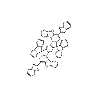 c1ccc2c(c1)-c1ccccc1C21c2cc3c(cc2-c2c1cc(-c1cc4ccccc4s1)c1oc4ccccc4c21)C1(c2ccccc2-c2ccccc21)c1cc(-c2cc4ccccc4s2)c2oc4ccccc4c2c1-3